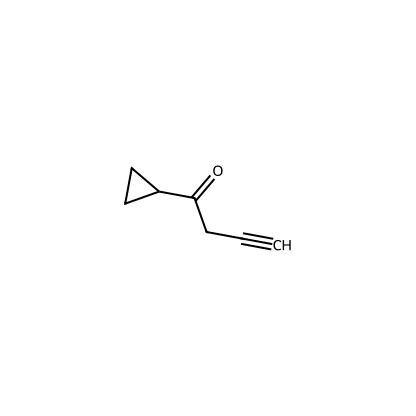 C#CCC(=O)C1CC1